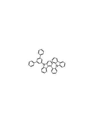 c1ccc(-c2cc(-c3ccccc3)cc(-n3c4ccccc4c4c(-c5ccccc5-n5c6ccccc6c6ccccc65)cccc43)c2)cc1